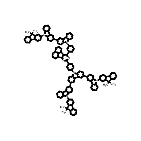 CC1(C)c2ccccc2-c2ccc(-n3c4ccccc4c4cc(-c5ccc6c(c5)c5ccccc5n6-c5cccc(-c6nc(-c7ccc(-n8c9ccc(-c%10ccc%11c(c%10)c%10ccccc%10n%11-c%10ccc%11c(c%10)C(C)(C)c%10ccccc%10-%11)cc9c9cc(-c%10ccc%11c(c%10)c%10ccccc%10n%11-c%10ccc%11c(c%10)C(C)(C)c%10ccccc%10-%11)ccc98)cc7)nc7c6-c6cccc8cccc-7c68)c5)ccc43)cc21